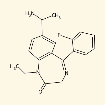 CCN1C(=O)CN=C(c2ccccc2F)c2cc(C(C)N)ccc21